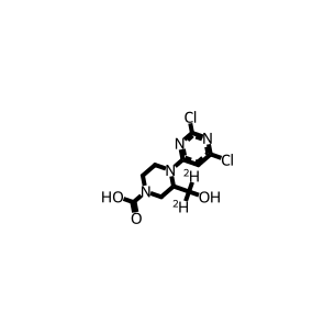 [2H]C([2H])(O)C1CN(C(=O)O)CCN1c1cc(Cl)nc(Cl)n1